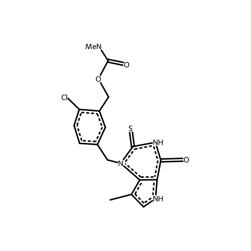 CNC(=O)OCc1cc(Cn2c(=S)[nH]c(=O)c3[nH]cc(C)c32)ccc1Cl